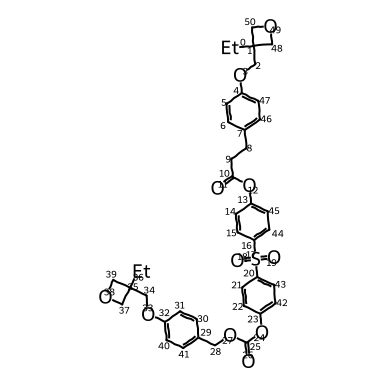 CCC1(COc2ccc(CCC(=O)Oc3ccc(S(=O)(=O)c4ccc(OC(=O)OCc5ccc(OCC6(CC)COC6)cc5)cc4)cc3)cc2)COC1